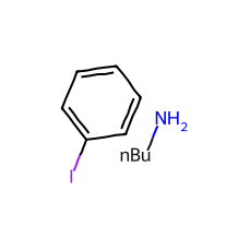 CCCCN.Ic1ccccc1